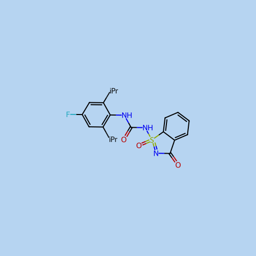 CC(C)c1cc(F)cc(C(C)C)c1NC(=O)NS1(=O)=NC(=O)c2ccccc21